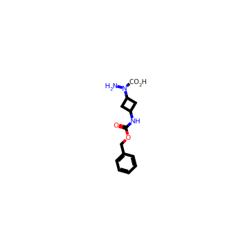 NN(C(=O)O)C1CC(NC(=O)OCc2ccccc2)C1